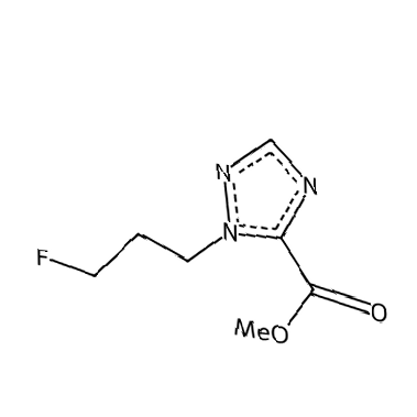 COC(=O)c1ncnn1CCCF